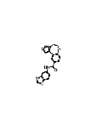 O=C(Nc1ccc2ncsc2c1)c1ccc2c(c1)-c1cncn1CCO2